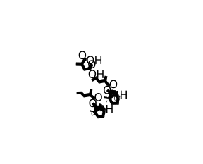 C=C(CC(=O)O)C(=O)O.CCC=C(C)C(=O)OC1C[C@H]2CC[C@@]1(C)C2(C)C.CCC=C(C)C(=O)OC1C[C@H]2CC[C@@]1(C)C2(C)C